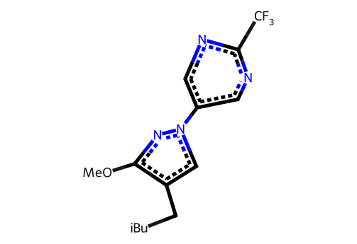 CCC(C)Cc1cn(-c2cnc(C(F)(F)F)nc2)nc1OC